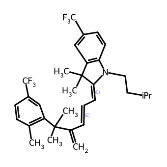 C=C(/C=C/C=C1/N(CCC(C)C)c2ccc(C(F)(F)F)cc2C1(C)C)C(C)(C)c1cc(C(F)(F)F)ccc1C